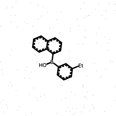 CCc1cccc(B(O)c2cccc3ccccc23)c1